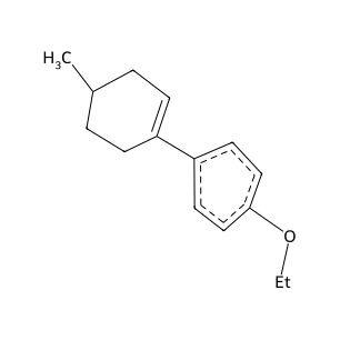 CCOc1ccc(C2=CCC(C)CC2)cc1